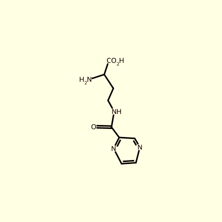 NC(CCNC(=O)c1cnccn1)C(=O)O